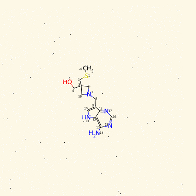 CSCC1(CO)CN(Cc2c[nH]c3c(N)ncnc23)C1